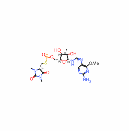 COc1nc(N)ncc1/N=C\N[C@@H]1O[C@H](CO[PH](=O)SC[C@@H]2C(=O)N(C)C(=O)N2C)[C@@H](O)[C@@]1(C)O